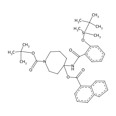 CC(C)(C)OC(=O)N1CCCC(NC(=O)c2ccccc2O[Si](C)(C)C(C)(C)C)(OC(=O)c2cccc3ccccc23)CC1